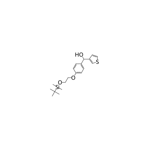 CC(C)(C)[Si](C)(C)OCCOc1ccc(C(O)c2ccsc2)cc1